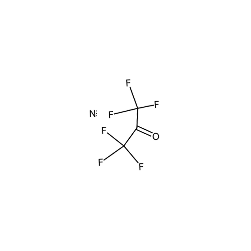 O=C(C(F)(F)F)C(F)(F)F.[N]